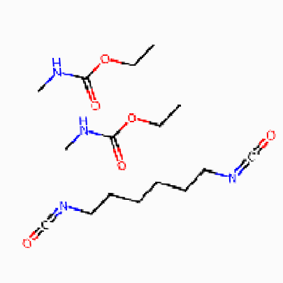 CCOC(=O)NC.CCOC(=O)NC.O=C=NCCCCCCN=C=O